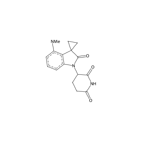 CNc1cccc2c1C1(CC1)C(=O)N2C1CCC(=O)NC1=O